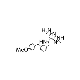 COc1ccc(Cc2cccc3c2NC(c2cc(N)nc4[nH]c(C)nc24)C3)cc1